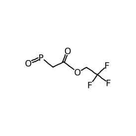 O=PCC(=O)OCC(F)(F)F